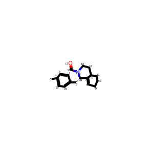 Cc1ccc(C[C@H]2C3=CCCCC3CCN2C=O)cc1